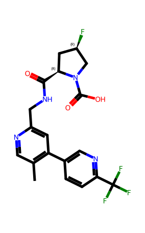 Cc1cnc(CNC(=O)[C@H]2C[C@@H](F)CN2C(=O)O)cc1-c1ccc(C(F)(F)F)nc1